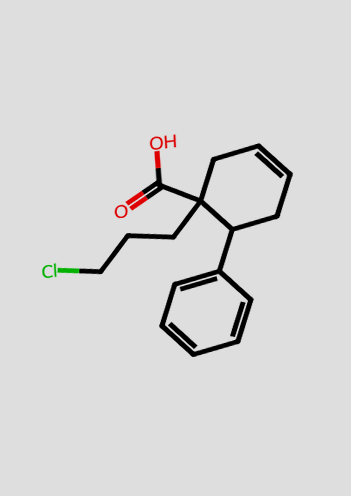 O=C(O)C1(CCCCl)CC=CCC1c1ccccc1